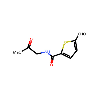 COC(=O)CNC(=O)c1ccc(C=O)s1